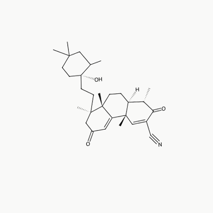 CC1CC(C)(C)CC[C@]1(O)CC[C@]1(C)CC(=O)C=C2[C@@]3(C)C=C(C#N)C(=O)[C@@H](C)[C@@H]3CC[C@]21C